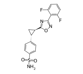 NS(=O)(=O)c1ccc([C@@H]2C[C@H]2c2nc(-c3c(F)cccc3F)no2)cc1